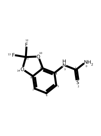 NC(=S)Nc1cccc2c1OC(F)(F)O2